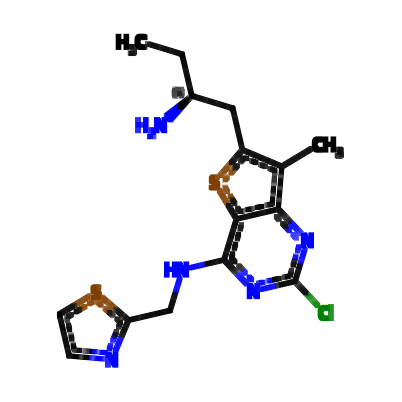 CC[C@H](N)Cc1sc2c(NCc3nccs3)nc(Cl)nc2c1C